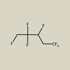 F[CH]C(F)(F)C(F)CC(F)(F)F